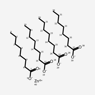 CCCCCCCC(=O)[O-].CCCCCCCC(=O)[O-].CCCCCCCC(=O)[O-].CCCCCCCC(=O)[O-].[Zn+4]